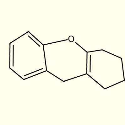 c1ccc2c(c1)CC1=C(CCCC1)O2